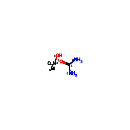 NC(N)=O.O=[N+]([O-])O.[Ni]